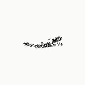 C=CCCN(/N=C/c1cc(OC(=O)c2ccc(OC(=O)c3ccc(OCCCCCCOC(=O)C=C)cc3)cc2)ccc1OC)c1nc2ccccc2s1